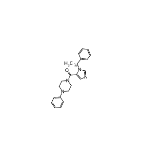 C[C@H](c1ccccc1)n1cncc1C(=O)N1CCN(c2ccccc2)CC1